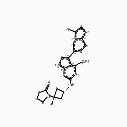 COc1nc(N[C@H]2C[C@@](C)(N3CCCC3=O)C2)nc2[nH]cc(-c3ccc4ncc(F)n4c3)c12